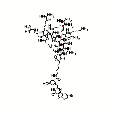 N=C(N)NCCCC(NC(=O)[C@@H](CCCNC(=N)N)NC(=O)CCCCCNC(=O)[C@@H](CCCNC(=N)N)NC(=O)CCCCCNC(=O)[C@H]1C[C@H](O)CN1Cc1nc2c(sc3ccc(Br)cc32)c(=O)[nH]1)C(=O)N[C@H](CCCNC(=N)N)C(=O)NC(CCCNC(=N)N)C(=O)N[C@H](CCCNC(=N)N)C(=O)NC(CCCNC(=N)N)C(=O)N[C@H](CCCCN)C(N)=O